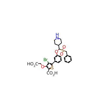 O=C(O)COc1c(C(=O)O)sc(-c2cccc(OC(C3CCNCC3)S(=O)(=O)Cc3ccccc3)c2)c1Br